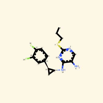 CCCSc1ncc(N)c(N[C@@H]2C[C@H]2c2ccc(F)c(F)c2)n1